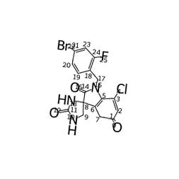 O=C1C=C(Cl)C2=C(C1)C1(CNC(=O)N1)C(=O)N2Cc1ccc(Br)cc1F